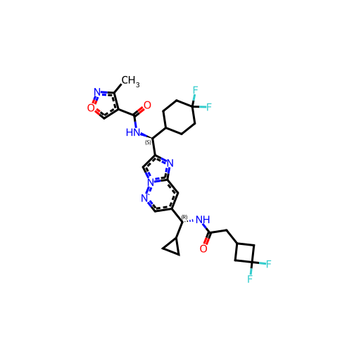 Cc1nocc1C(=O)N[C@H](c1cn2ncc([C@H](NC(=O)CC3CC(F)(F)C3)C3CC3)cc2n1)C1CCC(F)(F)CC1